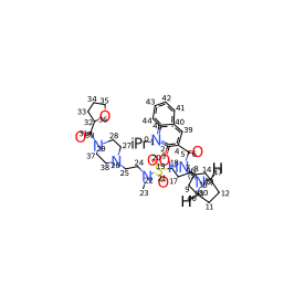 CC(C)n1c(=O)c(C(=O)N[C@@H]2C[C@H]3CC[C@@H](C2)N3CCCS(=O)(=O)N(C)CCN2CCN(C(=O)C3CCCO3)CC2)cc2ccccc21